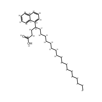 CCCCCCCCCCCCCCCCCCC(CCC(=O)O)c1cccc2ccccc12